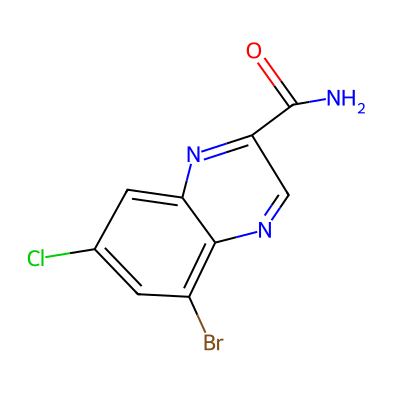 NC(=O)c1cnc2c(Br)cc(Cl)cc2n1